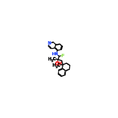 CC1(CC(C)(O)C(F)Nc2cccc3cnccc23)CCCc2ccccc21